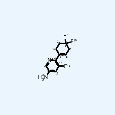 Nc1cnc(C2=CCC(F)(F)CC2)c(F)c1